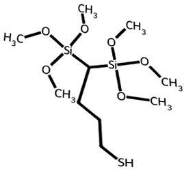 CO[Si](OC)(OC)C(CCCS)[Si](OC)(OC)OC